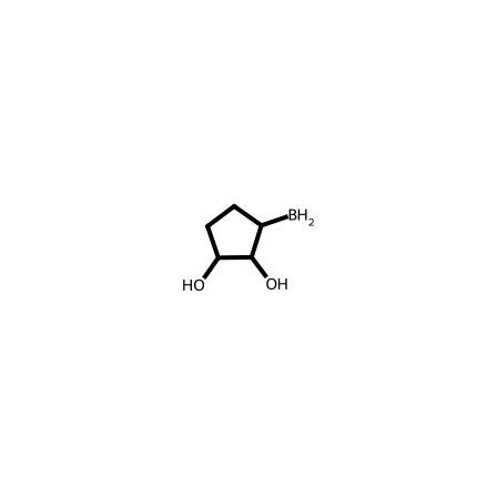 BC1CCC(O)C1O